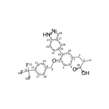 CC(Cc1ccc(OCc2ccc(C(F)(F)F)cc2)c(-c2ccc3[nH]ncc3c2)c1)C(=O)O